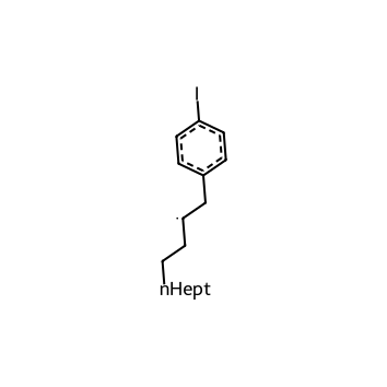 CCCCCCCCC[CH]Cc1ccc(I)cc1